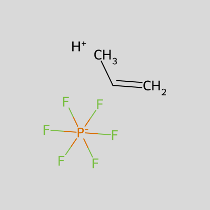 C=CC.F[P-](F)(F)(F)(F)F.[H+]